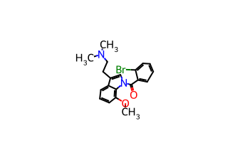 COc1cccc2c(CCN(C)C)cn(C(=O)c3ccccc3Br)c12